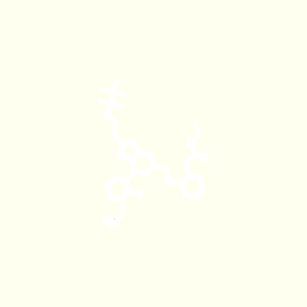 CCOC(=S)Cc1ccccc1OCc1cc(-c2cccc(CN)c2F)c2oc(CCO[Si](C)(C)C(C)(C)C)cc2c1